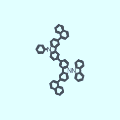 c1ccc(-n2c3ccc(-c4ccc5c(c4)c4cc(-c6cccc7ccccc67)ccc4n5-n4c5ccccc5c5ccccc54)cc3c3cc(-c4cccc5ccccc45)ccc32)cc1